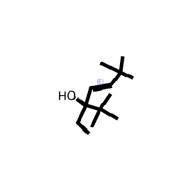 CCC(O)(/C=C/C(C)(C)C)C(C)(C)C